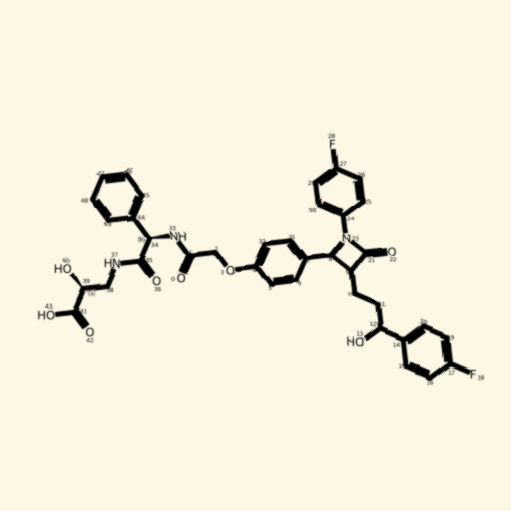 O=C(COc1ccc(C2C(CCC(O)c3ccc(F)cc3)C(=O)N2c2ccc(F)cc2)cc1)N[C@@H](C(=O)NC[C@H](O)C(=O)O)c1ccccc1